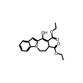 CCOC(=O)C1=C(O)c2cc3ccccc3n2CCC1C(=O)OCC